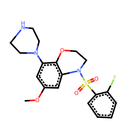 COc1cc(N2CCNCC2)c2c(c1)N(S(=O)(=O)c1ccccc1F)CCO2